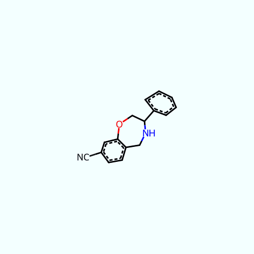 N#Cc1ccc2c(c1)OCC(c1ccccc1)NC2